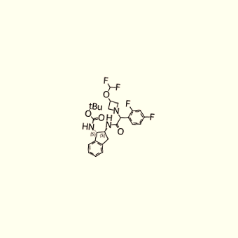 CC(C)(C)OC(=O)N[C@H]1c2ccccc2C[C@@H]1NC(=O)C(c1ccc(F)cc1F)N1CC(OC(F)F)C1